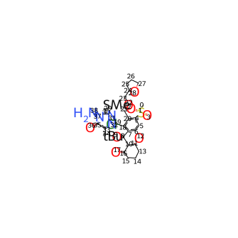 CS(=O)(=O)c1ccc(C(=O)C2C(=O)CCCC2=O)c(Cl)c1COCC1CCCO1.CSc1nnc(C(C)(C)C)c(=O)n1N